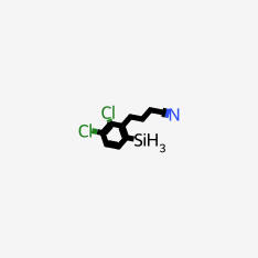 N#CCCCc1c([SiH3])ccc(Cl)c1Cl